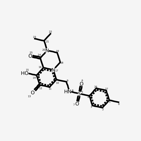 Cc1ccc(S(=O)(=O)NCc2cc(=O)c(O)c3n2CCN(C(C)C)C3=O)cc1